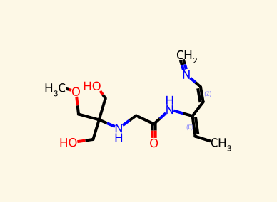 C=N/C=C\C(=C/C)NC(=O)CNC(CO)(CO)COC